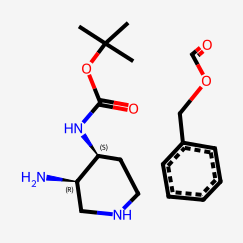 CC(C)(C)OC(=O)N[C@H]1CCNC[C@H]1N.O=COCc1ccccc1